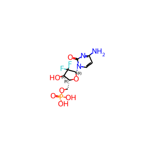 Nc1ccn([C@@H]2O[C@H](COP(=O)(O)O)[C@@H](O)C2(F)F)c(=O)n1